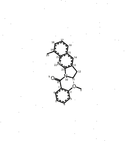 COc1ccccc1C(=O)N1CCc2cc3cccc(C)c3nc21